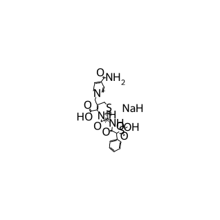 NC(=O)c1cc[n+](CC2=C(C(=O)O)N3C(=O)[C@@H](NC(=O)C(c4ccccc4)S(=O)(=O)O)[C@H]3SC2)cc1.[NaH]